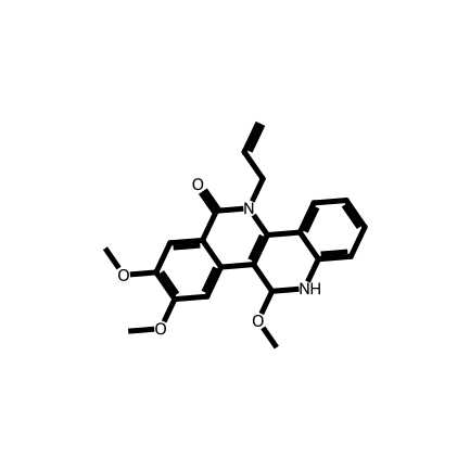 C=CCn1c2c(c3cc(OC)c(OC)cc3c1=O)C(OC)Nc1ccccc1-2